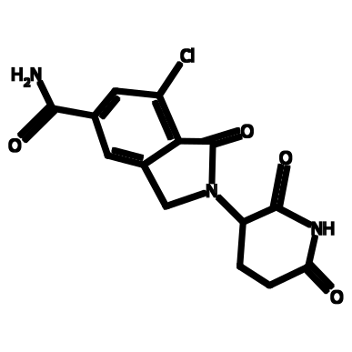 NC(=O)c1cc(Cl)c2c(c1)CN(C1CCC(=O)NC1=O)C2=O